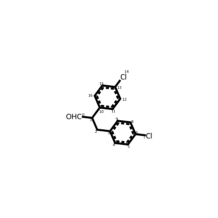 O=CC(Cc1ccc(Cl)cc1)c1ccc(Cl)cc1